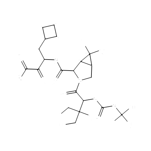 CCC(C)(CC)C(NC(=O)NC(C)(C)C)C(=O)N1CC2C(C1C(=O)NC(CC1CCC1)C(=O)C(N)=O)C2(C)C